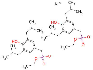 CCOP(=O)([O-])Cc1cc(CC(C)C)c(O)c(CC(C)C)c1.CCOP(=O)([O-])Cc1cc(CC(C)C)c(O)c(CC(C)C)c1.[Ni+2]